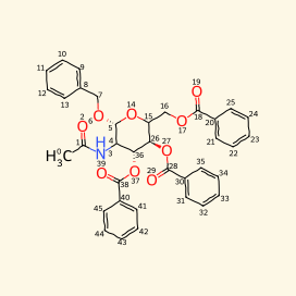 CC(=O)NC1[C@H](OCc2ccccc2)OC(COC(=O)c2ccccc2)[C@@H](OC(=O)c2ccccc2)[C@@H]1OC(=O)c1ccccc1